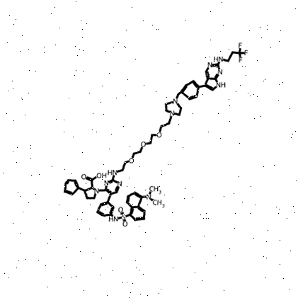 CN(C)c1cccc2c(S(=O)(=O)Nc3cccc(-c4cnc(NCCOCCOCCOCCN5CCN(Cc6ccc(-c7c[nH]c8nc(NCCC(F)(F)F)ncc78)cc6)CC5)nc4N4CCC(c5ccccc5)C4C(=O)O)c3)cccc12